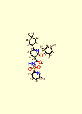 Cc1cc(C)c(Oc2nc(C3CCC(C)(C)CC3)ccc2C(=O)NS(=O)(=O)c2cccc(C)n2)c(C)c1